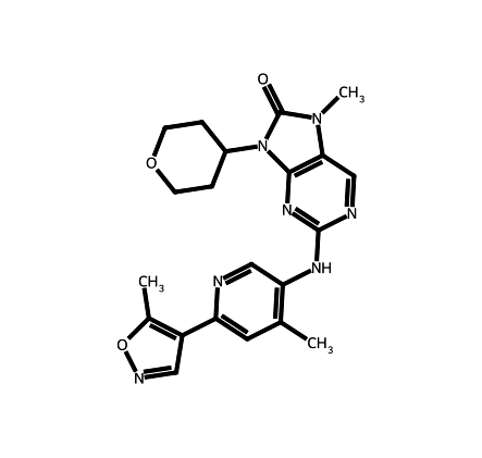 Cc1cc(-c2cnoc2C)ncc1Nc1ncc2c(n1)n(C1CCOCC1)c(=O)n2C